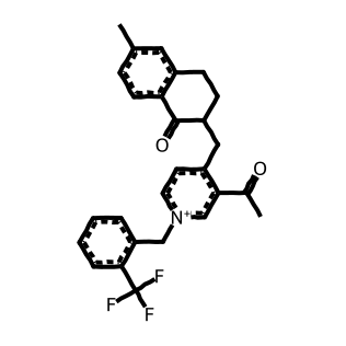 CC(=O)c1c[n+](Cc2ccccc2C(F)(F)F)ccc1CC1CCc2cc(C)ccc2C1=O